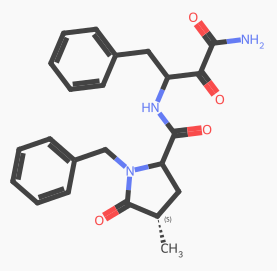 C[C@H]1CC(C(=O)NC(Cc2ccccc2)C(=O)C(N)=O)N(Cc2ccccc2)C1=O